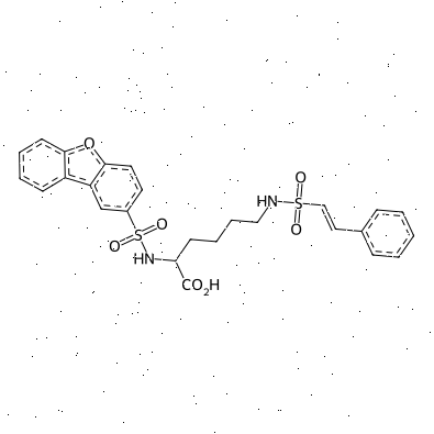 O=C(O)C(CCCCNS(=O)(=O)C=Cc1ccccc1)NS(=O)(=O)c1ccc2oc3ccccc3c2c1